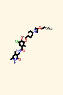 COCCOC1CN([C@H]2CC[C@@H]([C@H]3COc4c(Cl)cc(C(=O)NCc5c(C)cc(C)[nH]c5=O)c(C)c4O3)CC2)C1